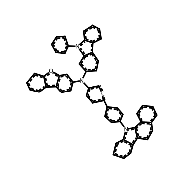 c1ccc(-n2c3ccccc3c3ccc(N(c4ccc(-c5ccc(-n6c7ccccc7c7ccc8ccccc8c76)cc5)cc4)c4ccc5c(c4)oc4ccccc45)cc32)cc1